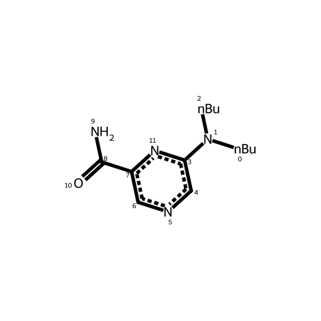 CCCCN(CCCC)c1cncc(C(N)=O)n1